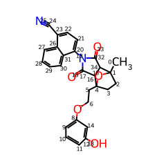 CC12CCC(CCOc3cccc(O)c3)(O1)C1C(=O)N(c3ccc(C#N)c4ccccc34)C(=O)C12